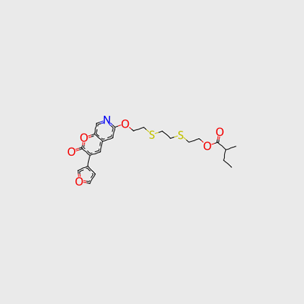 CCC(C)C(=O)OCCSCCSCCOc1cc2cc(-c3ccoc3)c(=O)oc2cn1